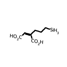 O=C(O)/C=C(/CCC[SiH3])C(=O)O